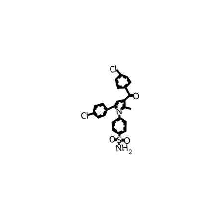 Cc1c(C(=O)c2ccc(Cl)cc2)cc(-c2ccc(Cl)cc2)n1-c1ccc(S(N)(=O)=O)cc1